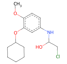 COc1ccc(NC(O)CCl)cc1OC1CCCCC1